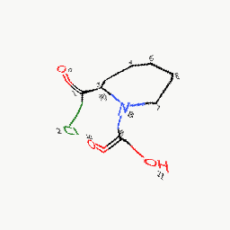 O=C(Cl)[C@H]1CCCCN1C(=O)O